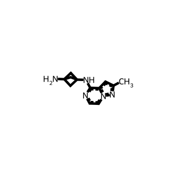 Cc1cc2c(NC34CC(N)(C3)C4)nccn2n1